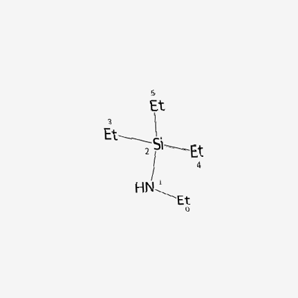 CCN[Si](CC)(CC)CC